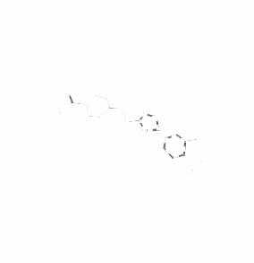 C[S+]([O-])c1ccc(-c2nc(COC3CCN(C(=O)OC(C)(C)C)CC3)no2)cc1F